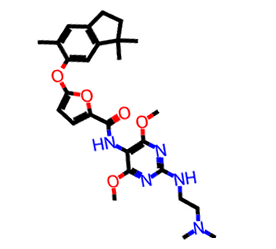 COc1nc(NCCN(C)C)nc(OC)c1NC(=O)c1ccc(Oc2cc3c(cc2C)CCC3(C)C)o1